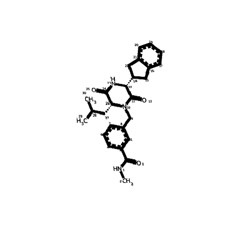 CNC(=O)c1cccc(CN2C(=O)[C@@H](C3Cc4ccccc4C3)NC(=O)[C@H]2CC(C)C)c1